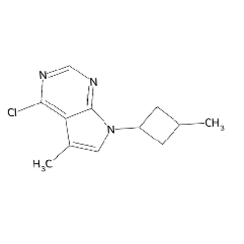 Cc1cn(C2CC(C)C2)c2ncnc(Cl)c12